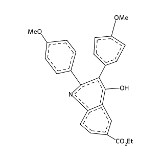 CCOC(=O)c1ccc2nc(-c3ccc(OC)cc3)c(-c3ccc(OC)cc3)c(O)c2c1